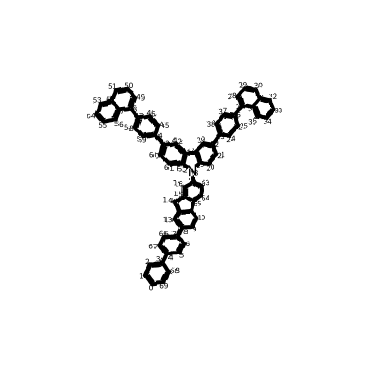 c1ccc(-c2ccc(-c3ccc4c(c3)Cc3cc(-n5c6ccc(-c7ccc(-c8cccc9ccccc89)cc7)cc6c6cc(-c7ccc(-c8cccc9ccccc89)cc7)ccc65)ccc3-4)cc2)cc1